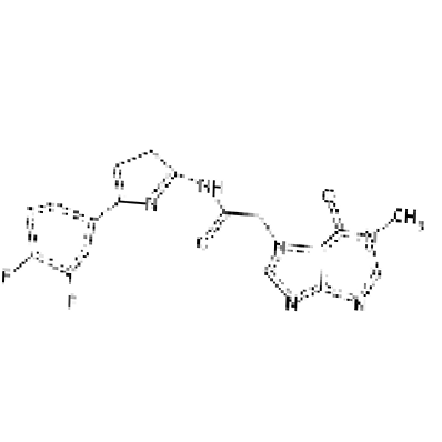 Cn1cnc2ncn(CC(=O)NC3=NC(c4ccc(F)c(F)c4)=CC3)c2c1=O